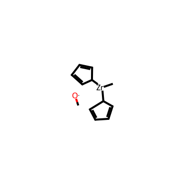 C[O].[CH3][Zr]([CH]1C=CC=C1)[CH]1C=CC=C1